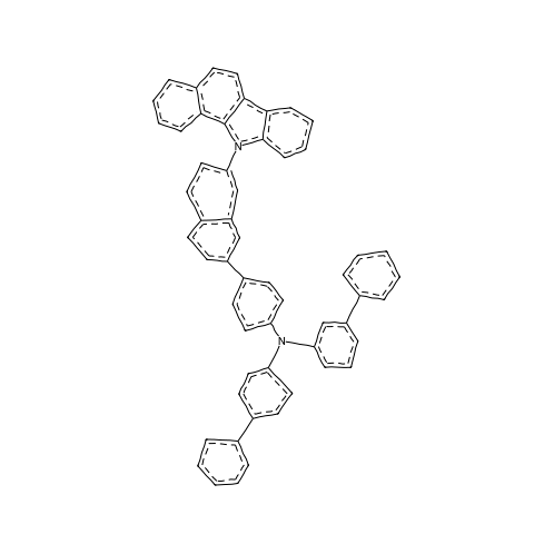 c1ccc(-c2ccc(N(c3ccc(-c4ccc5ccc(-n6c7ccccc7c7ccc8ccccc8c76)cc5c4)cc3)c3cccc(-c4ccccc4)c3)cc2)cc1